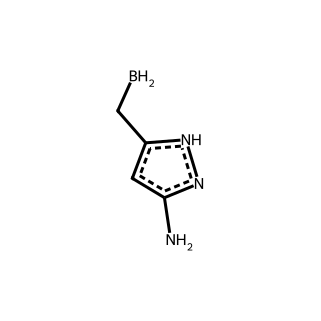 BCc1cc(N)n[nH]1